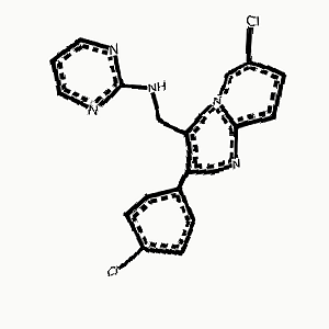 Clc1ccc(-c2nc3ccc(Cl)cn3c2CNc2ncccn2)cc1